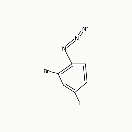 [N-]=[N+]=Nc1ccc(I)cc1Br